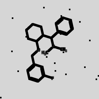 CN(C)C(c1ccccc1)C1CCCCC1OCc1cccc(F)c1